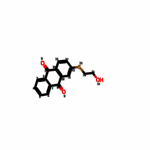 O=C1c2ccccc2C(=O)c2cc(SCCO)ccc21